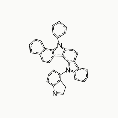 C1=Nc2cccc(-n3c4ccccc4c4ccc5c(c6ccc7ccccc7c6n5-c5ccccc5)c43)c2C1